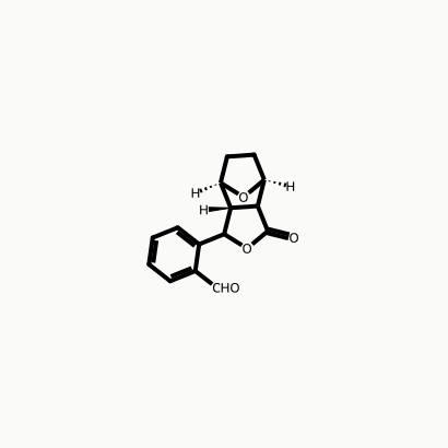 O=Cc1ccccc1C1OC(=O)C2[C@H]1[C@H]1CC[C@@H]2O1